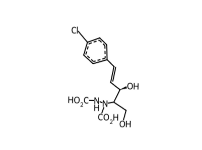 O=C(O)NN(C(=O)O)C(CO)[C@H](O)C=Cc1ccc(Cl)cc1